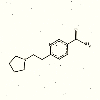 NC(=O)c1ccc(CCN2CCCC2)nc1